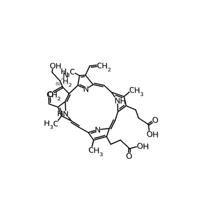 C=CC1=C(C)c2nc1cc1[nH]c(cc3nc(cc4[nH]c(c(C=C)c4C)c2C(=O)[C@@H](N)CO)C(C)=C3CCC(=O)O)c(CCC(=O)O)c1C